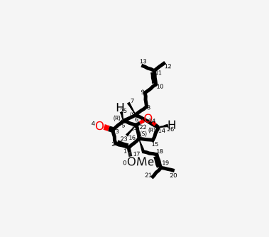 COC1=CC(=O)[C@@H]2[C@](C)(CCC=C(C)C)[C@H]3C[C@@]1(CC=C(C)C)[C@@]2(C)O3